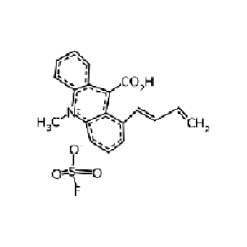 C=CC=Cc1cccc2c1c(C(=O)O)c1ccccc1[n+]2C.O=S(=O)([O-])F